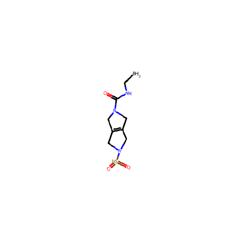 BCNC(=O)N1CC2=C(C1)CN([SH](=O)=O)C2